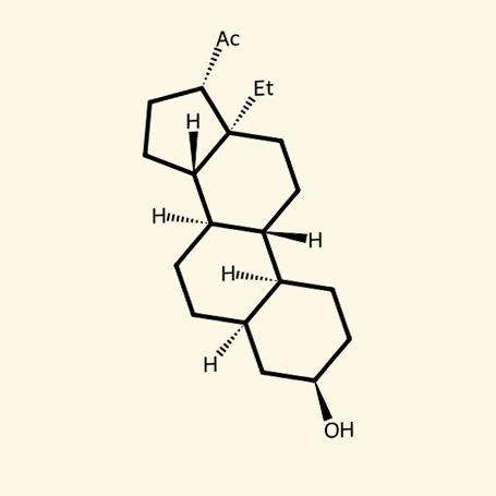 CC[C@]12CC[C@H]3[C@@H](CC[C@@H]4C[C@H](O)CC[C@@H]43)[C@@H]1CC[C@@H]2C(C)=O